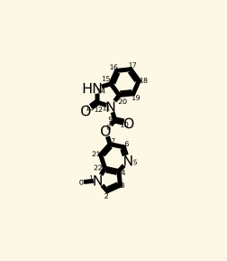 Cn1ccc2ncc(OC(=O)n3c(=O)[nH]c4ccccc43)cc21